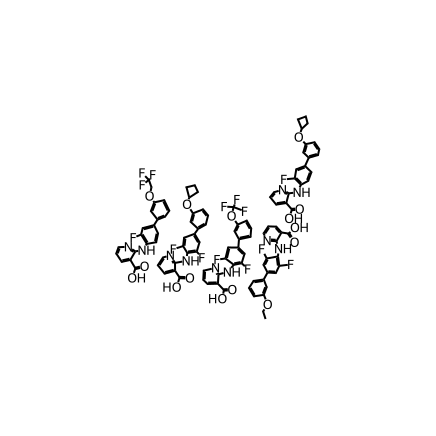 CCOc1cccc(-c2cc(F)c(Nc3ncccc3C(=O)O)c(F)c2)c1.O=C(O)c1cccnc1Nc1c(F)cc(-c2cccc(OC(F)(F)F)c2)cc1F.O=C(O)c1cccnc1Nc1c(F)cc(-c2cccc(OC3CCC3)c2)cc1F.O=C(O)c1cccnc1Nc1ccc(-c2cccc(OC3CCC3)c2)cc1F.O=C(O)c1cccnc1Nc1ccc(-c2cccc(OCC(F)(F)F)c2)cc1F